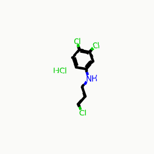 Cl.ClCCCNc1ccc(Cl)c(Cl)c1